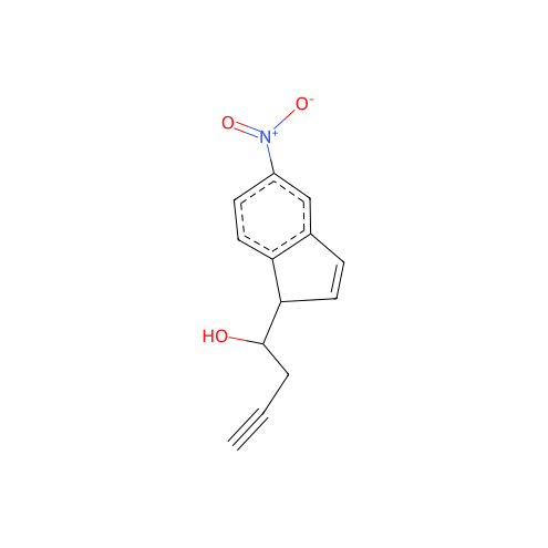 C#CCC(O)C1C=Cc2cc([N+](=O)[O-])ccc21